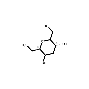 CC[C@H]1OC(CO)[C@H](O)CC1O